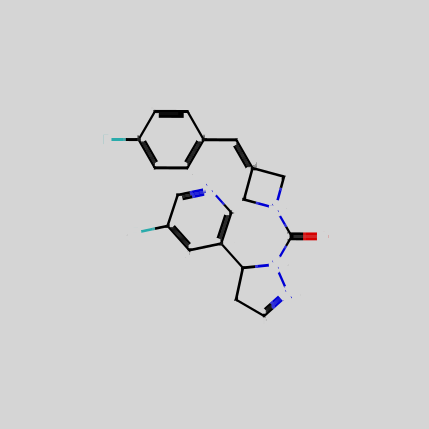 O=C(N1CC(=Cc2ccc(F)cc2)C1)N1N=CCC1c1cncc(F)c1